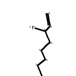 C=CC(F)[CH]CCCC